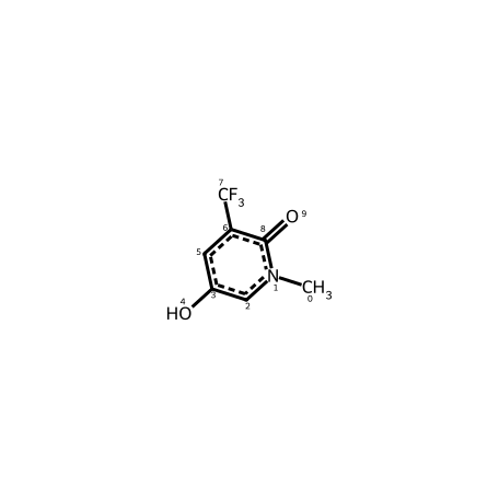 Cn1cc(O)cc(C(F)(F)F)c1=O